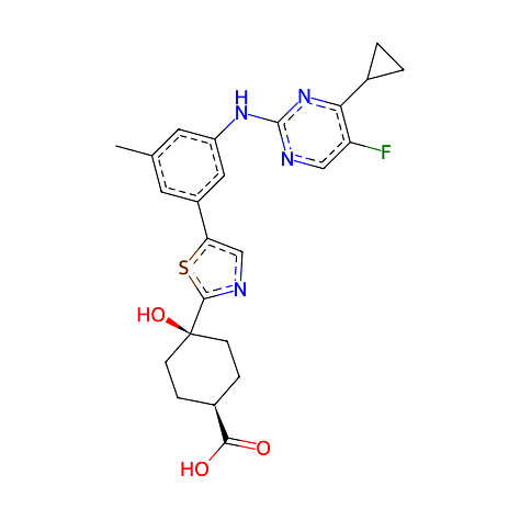 Cc1cc(Nc2ncc(F)c(C3CC3)n2)cc(-c2cnc([C@]3(O)CC[C@@H](C(=O)O)CC3)s2)c1